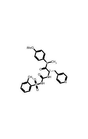 COc1ccc(N(C)C(=O)[C@H](Cc2ccncc2)NC(=O)NS(=O)(=O)c2ccccc2C)cc1